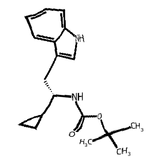 CC(C)(C)OC(=O)N[C@@H](Cc1c[nH]c2ccccc12)C1CC1